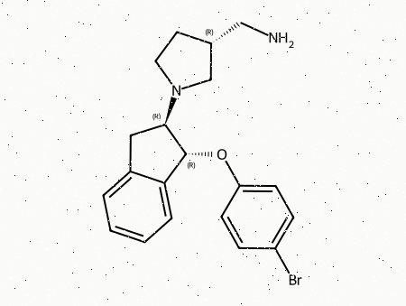 NC[C@H]1CCN([C@@H]2Cc3ccccc3[C@H]2Oc2ccc(Br)cc2)C1